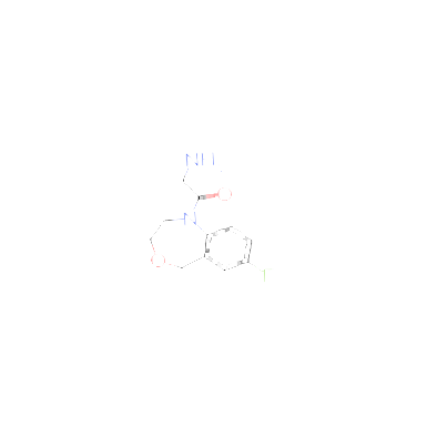 NCC(=O)N1CCOCc2cc(F)ccc21